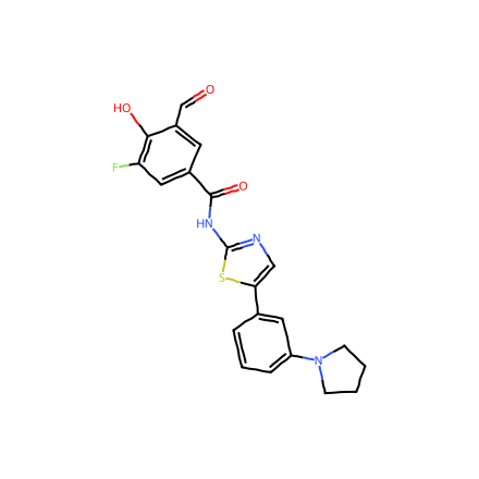 O=Cc1cc(C(=O)Nc2ncc(-c3cccc(N4CCCC4)c3)s2)cc(F)c1O